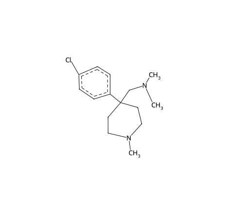 CN(C)CC1(c2ccc(Cl)cc2)CCN(C)CC1